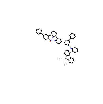 CC1(C)c2ccccc2-c2c1ccc1c2c2ccccc2n1-c1cc(-c2ccccc2)cc(-c2ccc3c(c2)c2cccc4c5cc(-c6ccccc6)ccc5c(=O)n3c42)c1